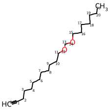 C#CCCCCCCCCCCOCOCCCCCCC